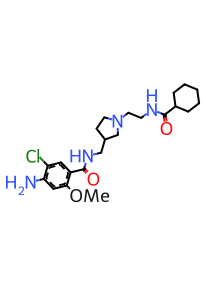 COc1cc(N)c(Cl)cc1C(=O)NCC1CCN(CCNC(=O)C2CCCCC2)C1